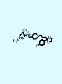 CN1CN(N)N=C1NCC1CCN(CCCC2(c3ccc(F)cc3)OCCO2)CC1